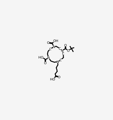 CC(C)(C)OC(=O)N1CCCN(CCCCC(=O)O)CCN(C(=O)O)CCCN(C(=O)O)CC1